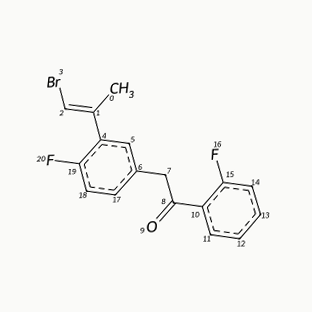 C/C(=C\Br)c1cc(CC(=O)c2ccccc2F)ccc1F